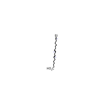 CC/C=C/CCCCC/C=C/C/C=C/CCCCCC(=O)O